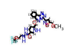 COCc1cc(-c2nnc3c4ccccc4c(OC=C4C=CC(C(=O)NNCCOC(F)(F)F)=CN4)nn23)no1